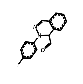 O=CC1c2ccccc2C=NN1c1ccc(I)cc1